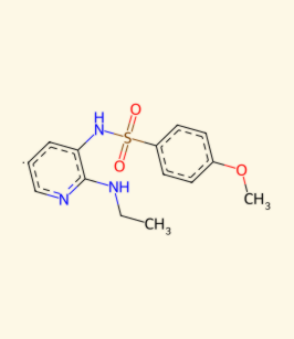 CCNc1nc[c]cc1NS(=O)(=O)c1ccc(OC)cc1